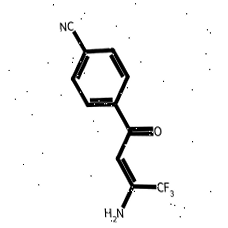 N#Cc1ccc(C(=O)/C=C(/N)C(F)(F)F)cc1